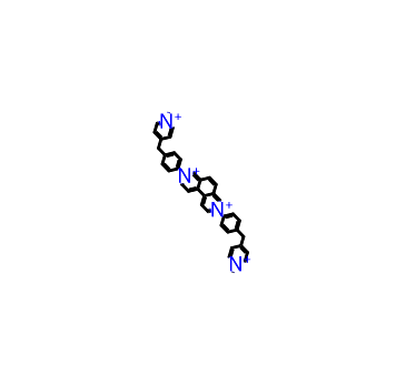 C[n+]1ccc(Cc2ccc(-[n+]3ccc4c(ccc5c[n+](-c6ccc(Cc7cc[n+](C)cc7)cc6)ccc54)c3)cc2)cc1